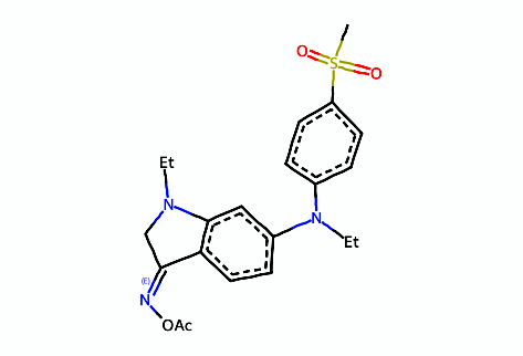 CCN1C/C(=N/OC(C)=O)c2ccc(N(CC)c3ccc(S(C)(=O)=O)cc3)cc21